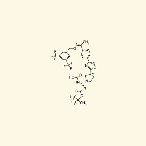 CC(=NOCc1cc(C(F)(F)F)cc(C(F)(F)F)c1)c1ccc(-c2noc([C@@H]3CCN(C(=NC(=O)OC(C)(C)C)NC(=O)O)C3)n2)cc1